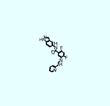 O=C(Nc1ccc2[nH]ncc2c1)c1cc(NCCc2ccccn2)c(F)cc1F